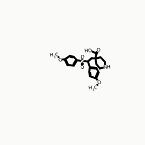 COc1ccc(C(CC2(C(=O)O)CCNCC2)S(=O)(=O)c2ccc(OC)cc2)cc1